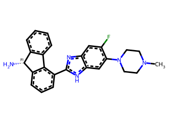 CN1CCN(c2cc3[nH]c(-c4cccc5c4-c4ccccc4[C@H]5N)nc3cc2F)CC1